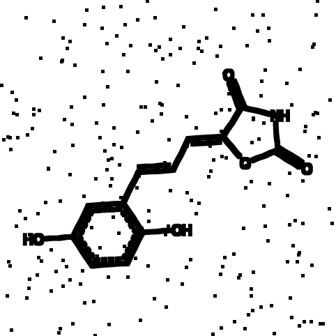 O=C1NC(=O)C(=CC=Cc2cc(O)ccc2O)O1